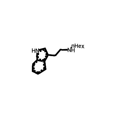 CCCCCCNCCc1c[nH]c2ccccc12